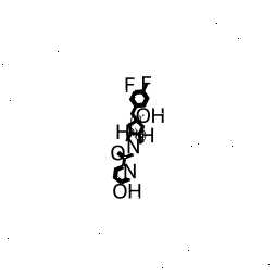 O=C(CN1C[C@@H]2C[C@@](O)(Cc3ccc(F)c(F)c3)C[C@@H]2C1)c1ccc(O)cn1